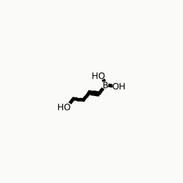 OCCC=CB(O)O